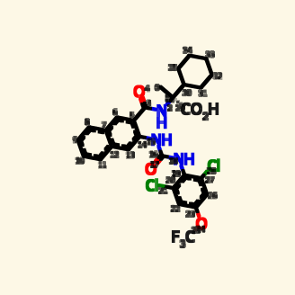 C[C@@](NC(=O)c1cc2ccccc2cc1NC(=O)Nc1c(Cl)cc(OC(F)(F)F)cc1Cl)(C(=O)O)C1CCCCC1